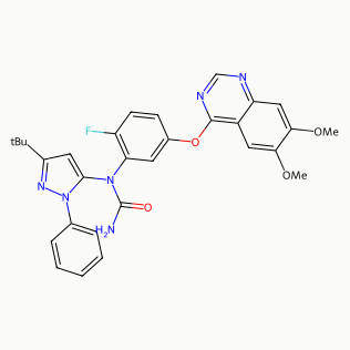 COc1cc2ncnc(Oc3ccc(F)c(N(C(N)=O)c4cc(C(C)(C)C)nn4-c4ccccc4)c3)c2cc1OC